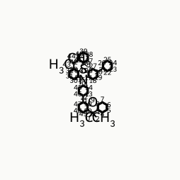 CC1(C)c2ccccc2Oc2c(-c3ccc(N(c4ccc(-c5ccccc5)cc4)c4cccc5c4Sc4ccccc4C5(C)C)cc3)cccc21